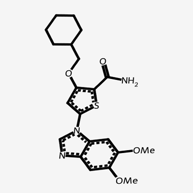 COc1cc2ncn(-c3cc(OCC4CCCCC4)c(C(N)=O)s3)c2cc1OC